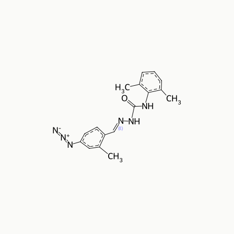 Cc1cc(N=[N+]=[N-])ccc1/C=N/NC(=O)Nc1c(C)cccc1C